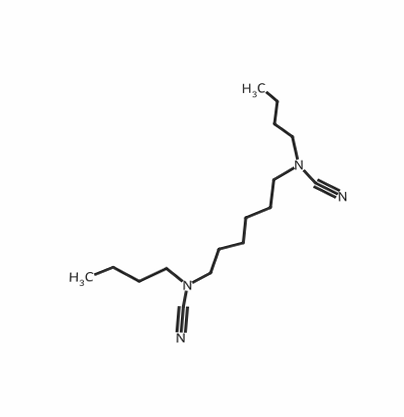 CCCCN(C#N)CCCCCCN(C#N)CCCC